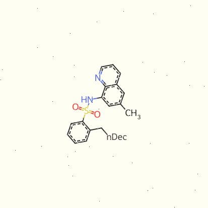 CCCCCCCCCCCc1ccccc1S(=O)(=O)Nc1cc(C)cc2cccnc12